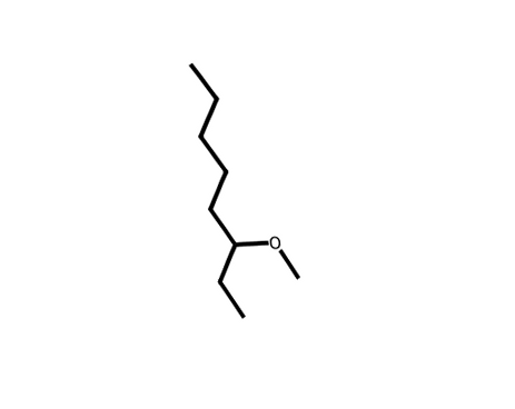 CCCCCC(CC)OC